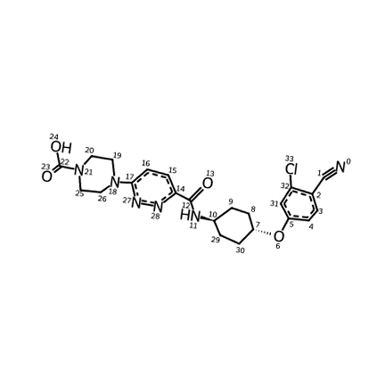 N#Cc1ccc(O[C@H]2CC[C@H](NC(=O)c3ccc(N4CCN(C(=O)O)CC4)nn3)CC2)cc1Cl